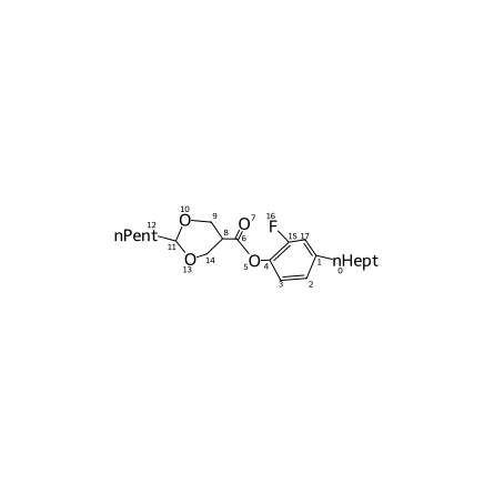 CCCCCCCc1ccc(OC(=O)C2COC(CCCCC)OC2)c(F)c1